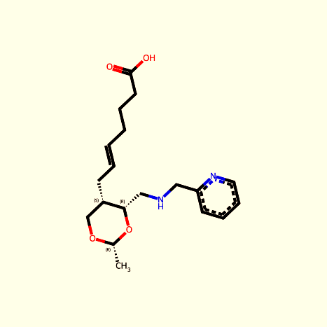 C[C@@H]1OC[C@H](CC=CCCCC(=O)O)[C@H](CNCc2ccccn2)O1